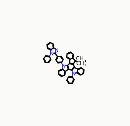 CC1(C)c2ccccc2-c2c1c1c3ccccc3n(-c3ccccc3)c1c1c3ccccc3n(-c3ccc(-c4nc5ccccc5n4-c4ccccc4)cc3)c21